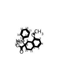 COc1cccc2c1C[C@@](Nc1ccccc1)(C(=O)O)CC2